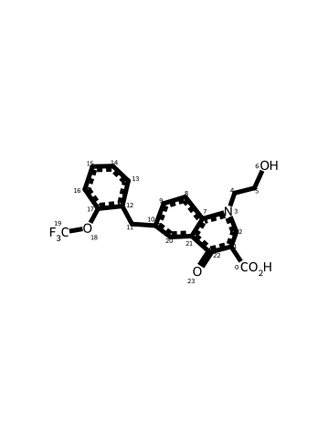 O=C(O)c1cn(CCO)c2ccc(Cc3ccccc3OC(F)(F)F)cc2c1=O